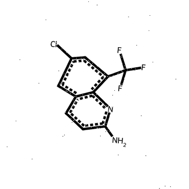 Nc1ccc2cc(Cl)cc(C(F)(F)F)c2n1